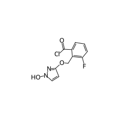 O=C(Cl)c1cccc(F)c1COc1ccn(O)n1